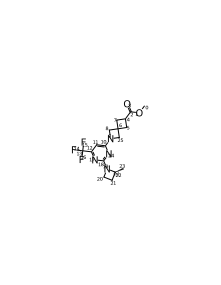 COC(=O)C1CC2(C1)CN(c1cc(C(F)(F)F)nc(N3CC[C@@H]3C)n1)C2